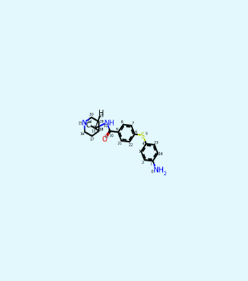 Nc1ccc(Sc2ccc(C(=O)N[C@H]3CN4CCC3CC4)cc2)cc1